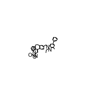 CCc1nc2c(C)cc(-c3ccccc3)cc2n1Cc1ccc2c(c1)CCc1ccccc1C2=Cc1noc(=O)[nH]1